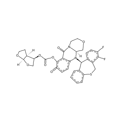 O=C(Oc1c2n(ccc1=O)N([C@@H]1c3ccccc3SCc3c1ccc(F)c3F)[C@@H]1COCCN1C2=O)O[C@H]1CO[C@H]2OCC[C@H]21